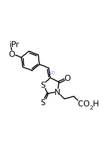 CC(C)Oc1ccc(/C=C2\SC(=S)N(CCC(=O)O)C2=O)cc1